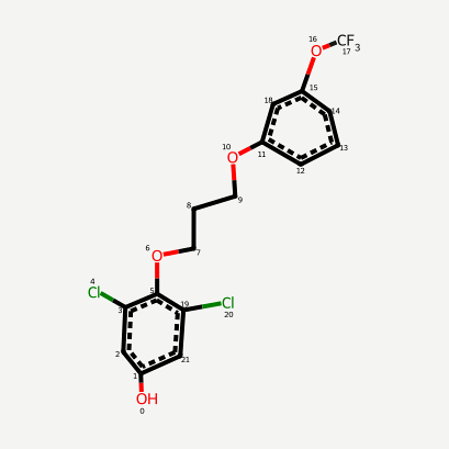 Oc1cc(Cl)c(OCCCOc2cccc(OC(F)(F)F)c2)c(Cl)c1